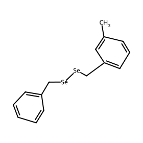 Cc1cccc(C[Se][Se]Cc2ccccc2)c1